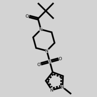 Cn1cc(S(=O)(=O)N2CCN(C(=O)C(C)(C)C)CC2)cn1